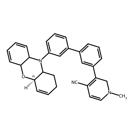 CN1C=CC(C#N)=C(c2cccc(-c3cccc(N4C5C=CC=CC5O[C@@H]5C=CCCC54)c3)c2)C1